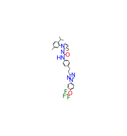 Cc1ccc(C(C)C)c(-n2ccs/c2=N\C(=O)Nc2ccc(CCc3ncn(-c4ccc(OC(F)(F)F)cc4)n3)cc2)c1